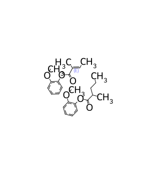 C/C=C(\C)C(=O)Oc1ccccc1OC.CCCC(C)C(=O)Oc1ccccc1OC